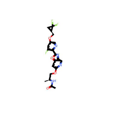 CC(=O)N[C@@H](C)COc1cc2oc(-c3ncc(OC[C@H]4CC4(F)F)cc3F)nc2cn1